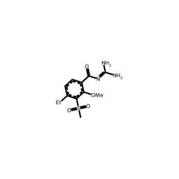 CCc1ccc(C(=O)N=C(N)N)c(OC)c1S(C)(=O)=O